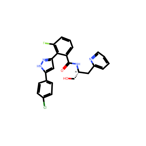 O=C(N[C@@H](CO)Cc1ccccn1)c1cccc(F)c1-c1cc(-c2ccc(Cl)cc2)[nH]n1